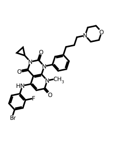 Cn1c(=O)cc(Nc2ccc(Br)cc2F)c2c(=O)n(C3CC3)c(=O)n(-c3cccc(CCCN4CCOCC4)c3)c21